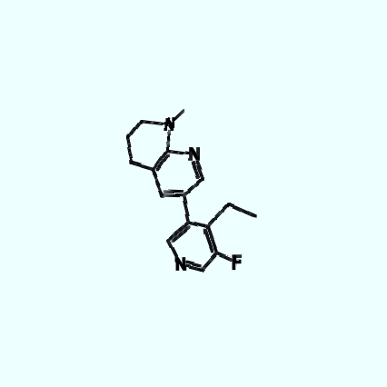 CCc1c(F)cncc1-c1cnc2c(c1)CCCN2C